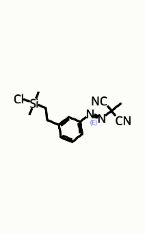 CC(C#N)(C#N)/N=N/c1cccc(CC[Si](C)(C)Cl)c1